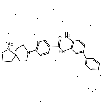 CC(=O)N1CCCC12CCN(c1ccc(C(=O)Nc3cc(-c4ccccc4)ccc3N)cn1)CC2